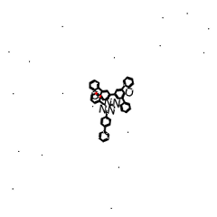 c1ccc(-c2ccc(-c3nc(-c4ccccc4)nc(-n4c5ccccc5c5c6oc7ccccc7c6cc(-c6ccc7oc8ccccc8c7c6)c54)n3)cc2)cc1